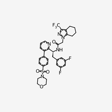 O=C(Cn1nc(C(F)(F)F)c2c1CCCC2)N[C@@H](Cc1cc(F)cc(F)c1)c1ncccc1-c1ccc(S(=O)(=O)N2CCOCC2)cc1